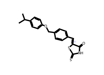 CC(C)c1ccc(OCc2ccc(/C=C3\SC(=S)NC3=O)cc2)cc1